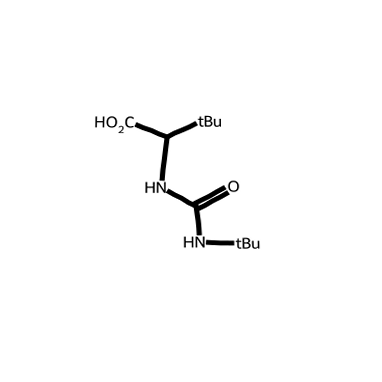 CC(C)(C)NC(=O)NC(C(=O)O)C(C)(C)C